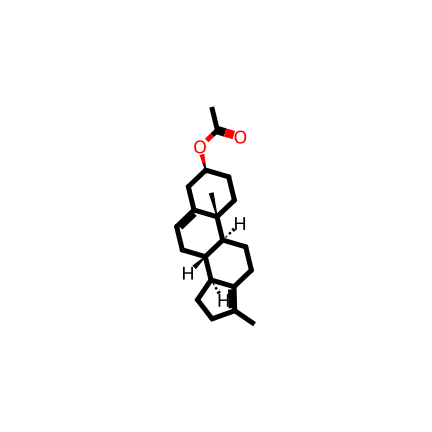 CC(=O)O[C@H]1CC[C@@]2(C)C(=CC[C@H]3[C@@H]4CCC(C)=C4CC[C@@H]32)C1